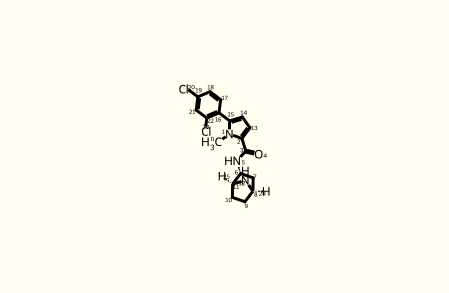 Cn1c(C(=O)N[C@@H]2C[C@H]3CC[C@@H]2N3)ccc1-c1ccc(Cl)cc1Cl